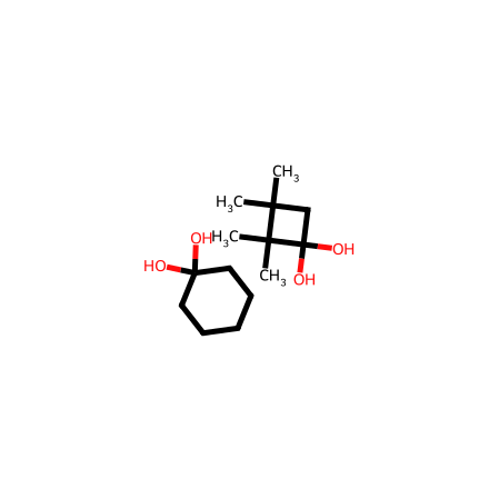 CC1(C)CC(O)(O)C1(C)C.OC1(O)CCCCC1